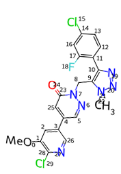 COc1cc(-c2cnn(Cc3c(-c4ccc(Cl)cc4F)nnn3C)c(=O)c2)cnc1Cl